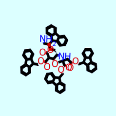 CC(CC(=O)OCC1c2ccccc2-c2ccccc21)(N[C@@H](CCCCN)C(=O)C(C(=O)OCC1c2ccccc2-c2ccccc21)C(=O)OCC1c2ccccc2-c2ccccc21)C(=O)OCC1c2ccccc2-c2ccccc21